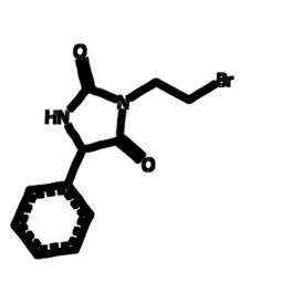 O=C1NC(c2ccccc2)C(=O)N1CCBr